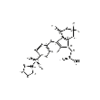 Cc1c(Cc2ccc(S(=O)(=O)N3CCCC3)cc2)c2c(n1CC(=O)O)CC(C)(C)CC2=O